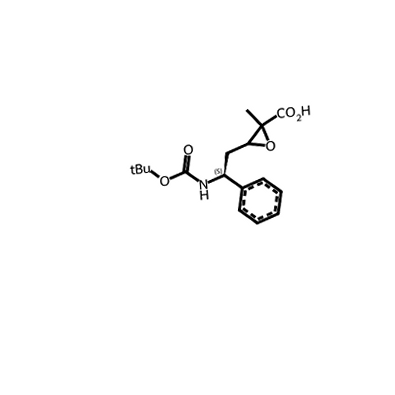 CC(C)(C)OC(=O)N[C@@H](CC1OC1(C)C(=O)O)c1ccccc1